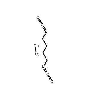 CCO.O=C=NCCCCN=C=O